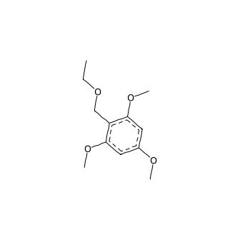 CCOCc1c(OC)cc(OC)cc1OC